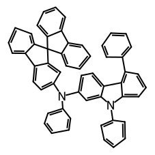 c1ccc(-c2cccc3c2c2ccc(N(c4ccccc4)c4ccc5c(c4)C4(c6ccccc6-c6ccccc64)c4ccccc4-5)cc2n3-c2ccccc2)cc1